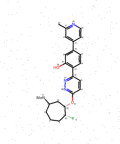 CNC1CCC[C@@H](F)[C@@H](Oc2ccc(-c3ccc(-c4ccnc(C)c4)cc3O)nn2)C1